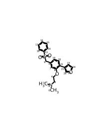 CN(C)CCOc1cc(CS(=O)(=O)c2ccccc2)ccc1-c1ccoc1